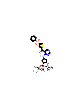 CC(C)[Si](O[C@H]1C[C@H](Nc2ncncc2C(=O)c2cc(S(=O)(=O)c3ccccc3)cs2)C[C@@H]1CO[Si](C)(C)C(C)(C)C)(C(C)C)C(C)C